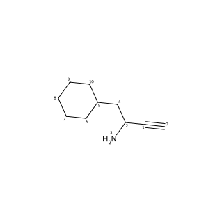 C#CC(N)CC1CCCCC1